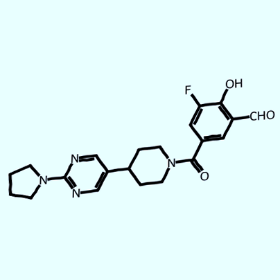 O=Cc1cc(C(=O)N2CCC(c3cnc(N4CCCC4)nc3)CC2)cc(F)c1O